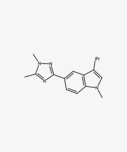 Cc1nc(-c2ccc3c(c2)c(C(C)C)cn3C)nn1C